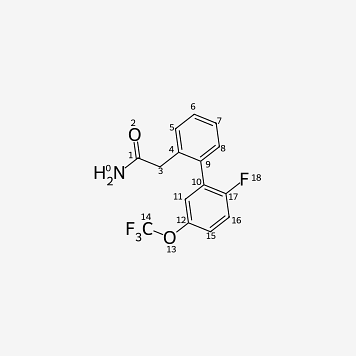 NC(=O)Cc1ccccc1-c1cc(OC(F)(F)F)ccc1F